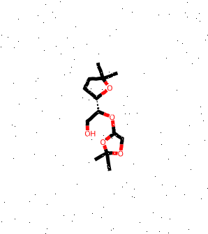 CC1(C)CC[C@@H](C(CO)OC2COC(C)(C)O2)O1